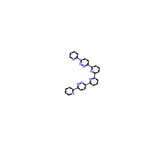 c1ccc(-c2ccc(-c3cccc(-c4cccc(-c5ccc(-c6ccccn6)nn5)n4)n3)nn2)nc1